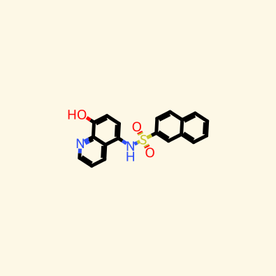 O=S(=O)(Nc1ccc(O)c2ncccc12)c1ccc2ccccc2c1